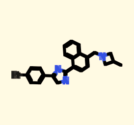 CCc1ccc(C2=NC(c3ccc(CN4CC(C)C4)c4ccccc34)=NC2)cc1